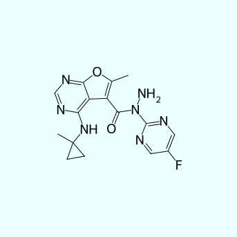 Cc1oc2ncnc(NC3(C)CC3)c2c1C(=O)N(N)c1ncc(F)cn1